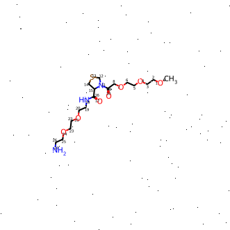 COCCOCCOCC(=O)N1CSCC1C(=O)NCCOCCOCCN